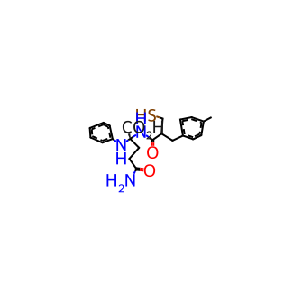 Cc1ccc(CC(CS)C(=O)N[C@](CCC(N)=O)(Nc2ccccc2)C(=O)O)cc1